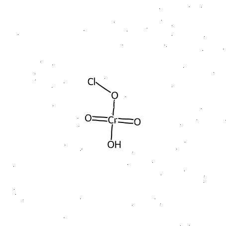 [O]=[Cr](=[O])([OH])[O]Cl